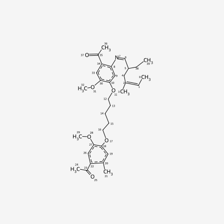 C/C=C(/C)CC(/C=N\c1cc(OCCCCCOc2cc(C)c(C(C)=O)cc2OC)c(OC)cc1C(C)=O)CC